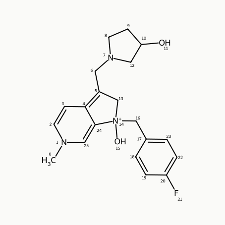 CN1C=CC2=C(CN3CCC(O)C3)C[N+](O)(Cc3ccc(F)cc3)C2=C1